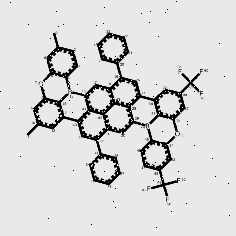 Cc1ccc2c(c1)Oc1cc(C)cc3c1B2c1cc2c(-c4ccccc4)cc4c5c(cc6c(-c7ccccc7)cc-3c1c6c25)B1c2ccc(C(F)(F)F)cc2Oc2cc(C(F)(F)F)cc-4c21